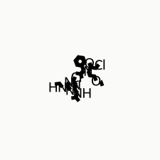 CCNc1nc(Cl)nc(NC(C)C)n1.CCOCCN(C(=O)CCl)C(=C(C)C)c1ccccc1